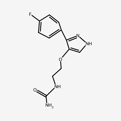 NC(=O)NCCOc1c[nH]nc1-c1ccc(F)cc1